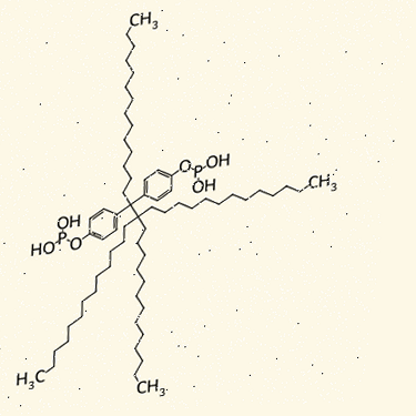 CCCCCCCCCCCCCCC(c1ccc(OP(O)O)cc1)(c1ccc(OP(O)O)cc1)C(CCCCCCCCCCCCC)(CCCCCCCCCCCCC)CCCCCCCCCCCCC